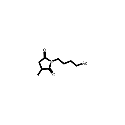 CC(=O)CCCCN1C(=O)CC(C)C1=O